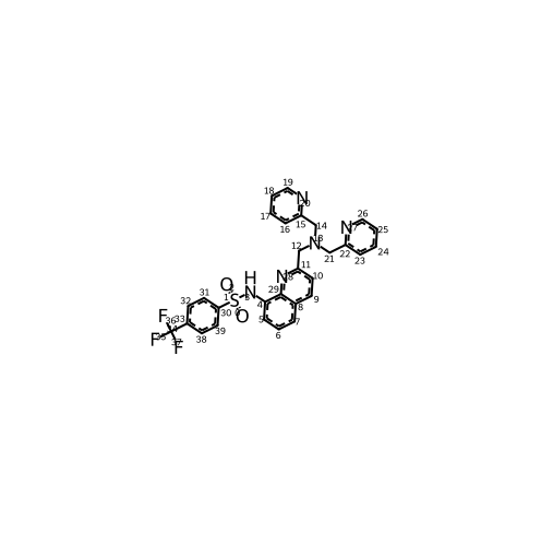 O=S(=O)(Nc1cccc2ccc(CN(Cc3ccccn3)Cc3ccccn3)nc12)c1ccc(C(F)(F)F)cc1